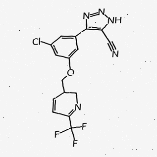 N#Cc1[nH]nnc1-c1cc(Cl)cc(OCC2C=CC(C(F)(F)F)=NC2)c1